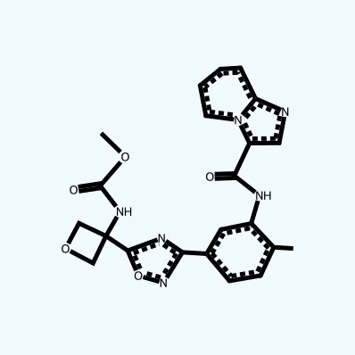 COC(=O)NC1(c2nc(-c3ccc(C)c(NC(=O)c4cnc5ccccn45)c3)no2)COC1